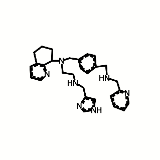 c1ccc(CNCc2ccc(CN(CCNCc3c[nH]cn3)C3CCCc4cccnc43)cc2)nc1